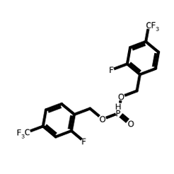 O=[PH](OCc1ccc(C(F)(F)F)cc1F)OCc1ccc(C(F)(F)F)cc1F